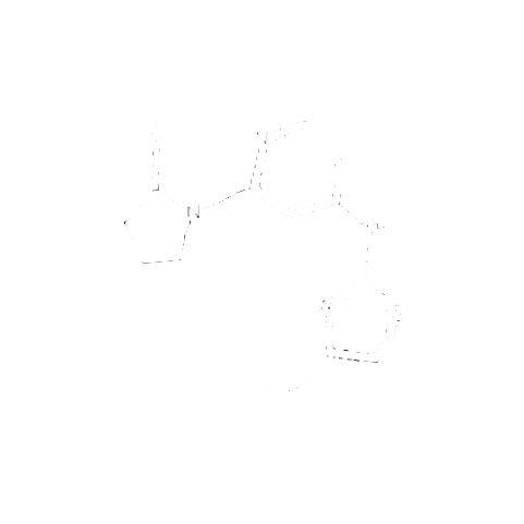 Cc1csc(Nc2ccnc(N3CCCC3=O)c2)n1